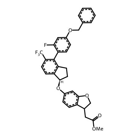 COC(=O)CC1COc2cc(O[C@@H]3CCc4c3ccc(C(F)(F)F)c4-c3ccc(OCc4ccccc4)cc3F)ccc21